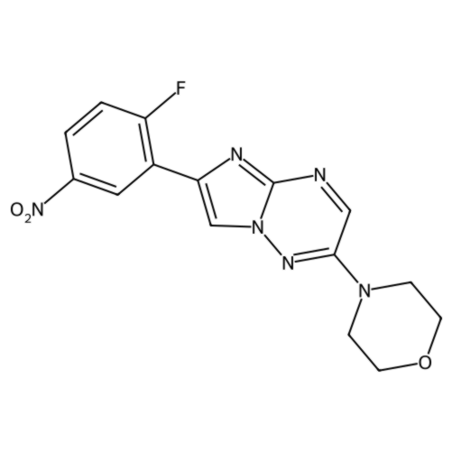 O=[N+]([O-])c1ccc(F)c(-c2cn3nc(N4CCOCC4)cnc3n2)c1